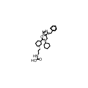 O=C(O)NCCC[C@@H]1CCCC(C(=O)N(Cc2nnnn2Cc2ccccc2)C2CCCCC2)C1